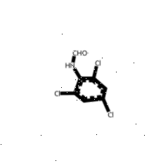 O=[C]Nc1c(Cl)cc(Cl)cc1Cl